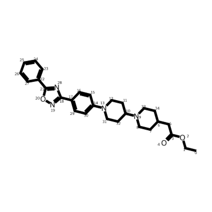 CCOC(=O)CC1CCN(C2CCN(c3ccc(-c4noc(-c5ccccc5)n4)cc3)CC2)CC1